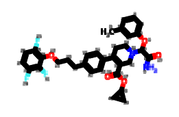 Cc1cccc(OC(C(N)=O)N2CCC(c3ccc(CCCOc4c(F)ccc(F)c4F)cc3)=C(C(=O)OC3CC3)C2)c1